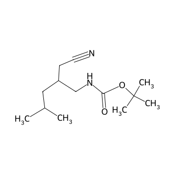 CC(C)CC(CC#N)CNC(=O)OC(C)(C)C